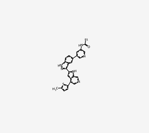 CCC(=O)Nc1cncc(-c2ccc3[nH]nc(-c4cc5c(-c6ccc(C)s6)cncc5[nH]4)c3c2)c1